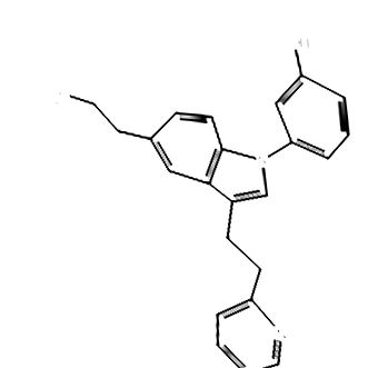 Cl.O=C(O)CCc1ccc2c(c1)c(CCc1ccccn1)cn2-c1cccc(O)c1